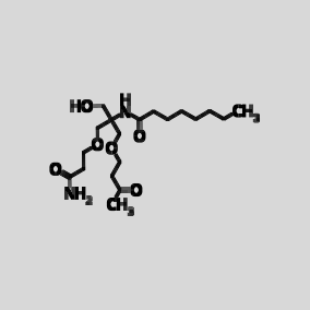 CCCCCCCC(=O)NC(CO)(COCCC(C)=O)COCCC(N)=O